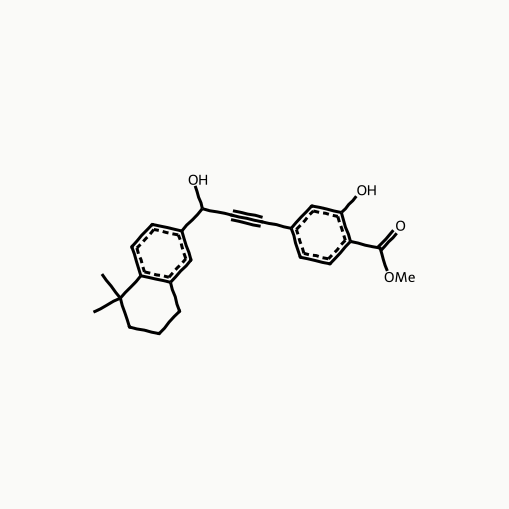 COC(=O)c1ccc(C#CC(O)c2ccc3c(c2)CCCC3(C)C)cc1O